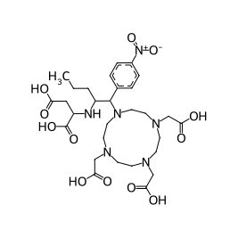 CCCC(NC(CC(=O)O)C(=O)O)C(c1ccc([N+](=O)[O-])cc1)N1CCN(CC(=O)O)CCN(CC(=O)O)CCN(CC(=O)O)CC1